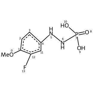 COc1ccc(NNP(=O)(O)O)cc1F